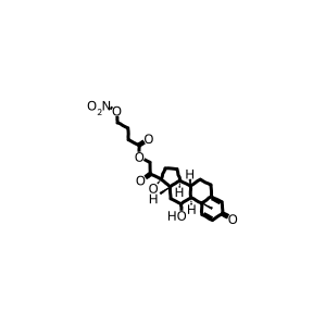 C[C@]12C=CC(=O)C=C1CC[C@@H]1[C@@H]2C(O)C[C@@]2(C)[C@H]1CC[C@]2(O)C(=O)COC(=O)CCCO[N+](=O)[O-]